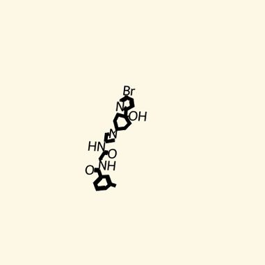 Cc1cccc(C(=O)NCC(=O)NC2CN([C@H]3CC[C@@](O)(c4ccc(Br)cn4)CC3)C2)c1